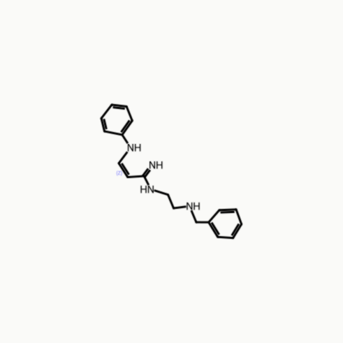 N=C(/C=C\Nc1ccccc1)NCCNCc1ccccc1